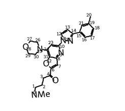 CNCCCC(=O)c1cc2nc(-n3ccc(-c4cccc(C)c4)n3)cc(N3CCOCC3)c2o1